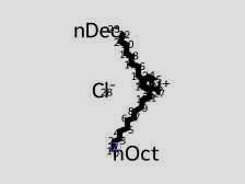 CCCCCCCC/C=C\CCCCCCCCCc1cc(CCCCCCCCCCCCCCCCCC)cc[n+]1C.[Cl-]